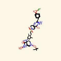 CC1=CC(NC2(C(=O)NO)CCN(OC(C)(C)C)CC2)=CC(C)C1/C=C/S(=O)(=O)N1CCC2(CC1)N=C(c1ccc(OF)cc1)NC2=O